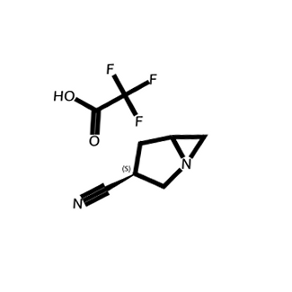 N#C[C@H]1CC2CN2C1.O=C(O)C(F)(F)F